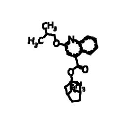 CC(C)COc1cc(C(=O)OC2CC3CCC(C2)N3C)c2ccccc2n1